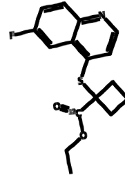 CCO[12C](=O)C1(Sc2ccnc3ccc(F)cc23)CCC1